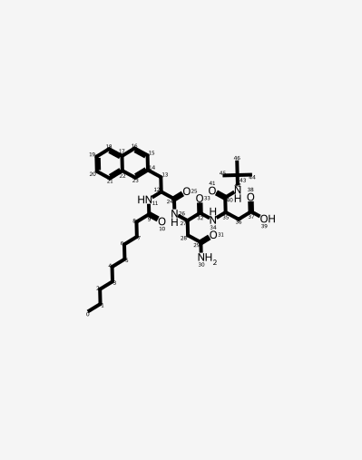 CCCCCCCCCC(=O)NC(Cc1ccc2ccccc2c1)C(=O)NC(CC(N)=O)C(=O)NC(CC(=O)O)C(=O)NC(C)(C)C